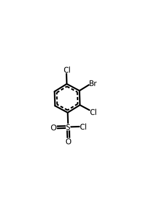 O=S(=O)(Cl)c1ccc(Cl)c(Br)c1Cl